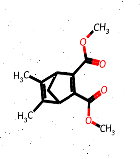 COC(=O)C1=C(C(=O)OC)C2CC1C(C)=C2C